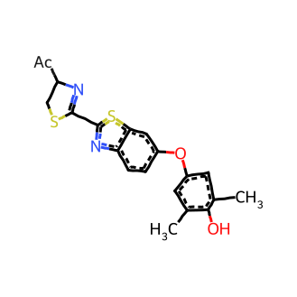 CC(=O)C1CSC(c2nc3ccc(Oc4cc(C)c(O)c(C)c4)cc3s2)=N1